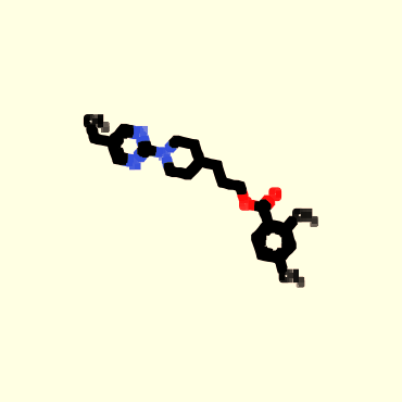 CCc1cnc(N2CCC(CCCOC(=O)c3ccc(C)cc3C)CC2)nc1